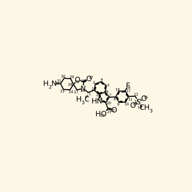 C[C@@H](c1cccc2c(-c3ccc(CS(C)(=O)=O)c(F)c3)c(C(=O)O)[nH]c12)N1CC2(CCC(N)CC2)OC1=O